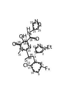 CCn1cc([C@H](c2cc(F)ccc2Cl)[C@@H](C)c2nc(C(=O)Nc3cnoc3)c(O)c(=O)n2C)cn1